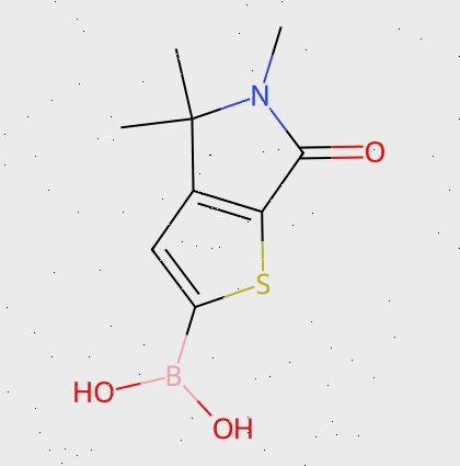 CN1C(=O)c2sc(B(O)O)cc2C1(C)C